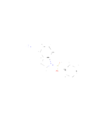 CNCc1cccc2c1ccn2S(=O)(=O)c1ccccc1